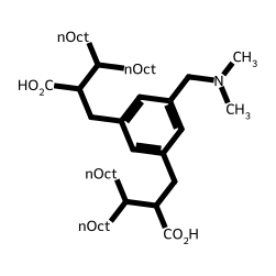 CCCCCCCCC(CCCCCCCC)C(Cc1cc(CC(C(=O)O)C(CCCCCCCC)CCCCCCCC)cc(CN(C)C)c1)C(=O)O